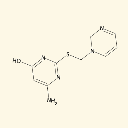 Nc1cc(O)nc(SCN2C=CC=NC2)n1